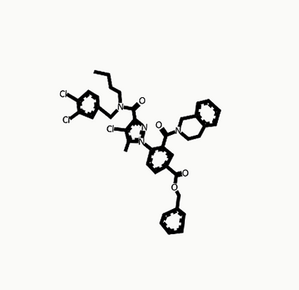 CCCCN(Cc1ccc(Cl)c(Cl)c1)C(=O)c1nn(-c2ccc(C(=O)OCc3ccccc3)cc2C(=O)N2CCc3ccccc3C2)c(C)c1Cl